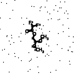 COC(COC(=O)C(F)F)OC